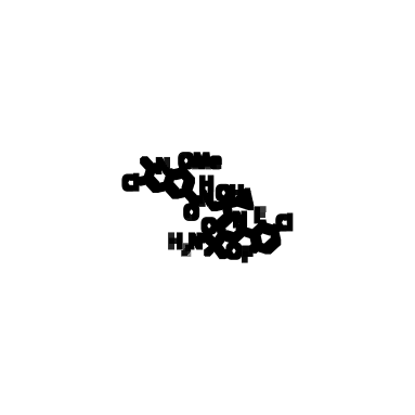 COc1cc(C(=O)NCC(O)(c2cc3c(c(-c4c(F)ccc(Cl)c4F)n2)OC[C@]3(C)C(N)=O)C2CC2)cc2cc(Cl)c(C)nc12